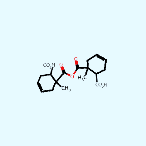 CC1(C(=O)OC(=O)C2(C)CC=CCC2C(=O)O)CC=CCC1C(=O)O